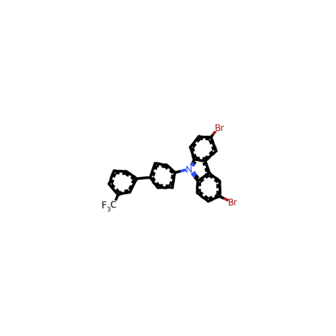 FC(F)(F)c1cccc(-c2ccc(-n3c4ccc(Br)cc4c4cc(Br)ccc43)cc2)c1